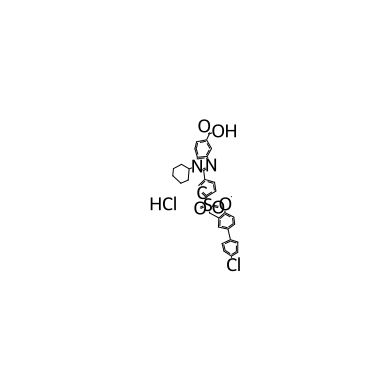 COc1ccc(-c2ccc(Cl)cc2)cc1CS(=O)(=O)c1ccc(-c2nc3cc(C(=O)O)ccc3n2C2CCCCC2)cc1.Cl